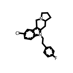 Fc1ccc(CCn2c3c(c4cc(Cl)ccc42)CN2CCCC2C3)cc1